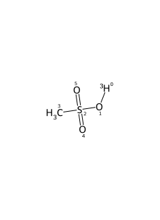 [3H]OS(C)(=O)=O